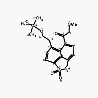 COCC(=O)c1ccc2c3c(ccc(CCO[Si](C)(C)C)c13)S(=O)(=O)N2